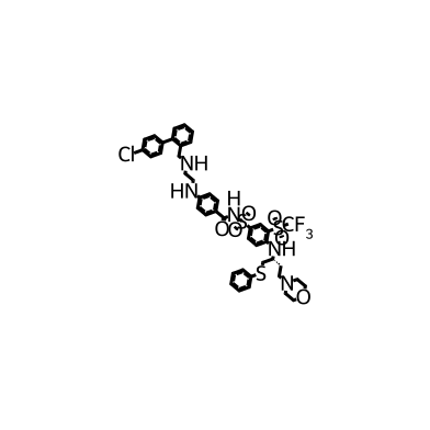 O=C(NS(=O)(=O)c1ccc(N[C@H](CCN2CCOCC2)CSc2ccccc2)c(S(=O)(=O)C(F)(F)F)c1)c1ccc(NCCNCc2ccccc2-c2ccc(Cl)cc2)cc1